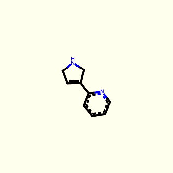 C1=C(c2ccccn2)CNC1